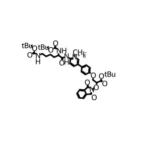 C[n+]1cc(-c2ccc(OCC(ON3C(=O)c4ccccc4C3=O)C(=O)OC(C)(C)C)cc2)ccc1NC(=O)C(CCCCNC(=O)OC(C)(C)C)NC(=O)OC(C)(C)C.[I-]